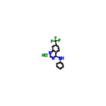 Cl.FC(F)(F)c1ccc2c(Nc3ccccc3)ncnc2c1